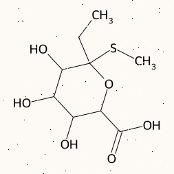 CCC1(SC)OC(C(=O)O)C(O)C(O)C1O